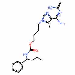 C=C(N)/N=C(/N)c1ncn(CCCCOC(=O)NC(CCC)c2ccccc2)c1C